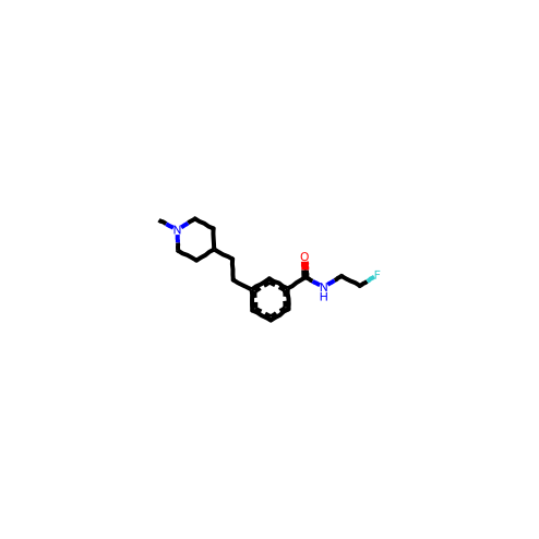 CN1CCC(CCc2cccc(C(=O)NCCF)c2)CC1